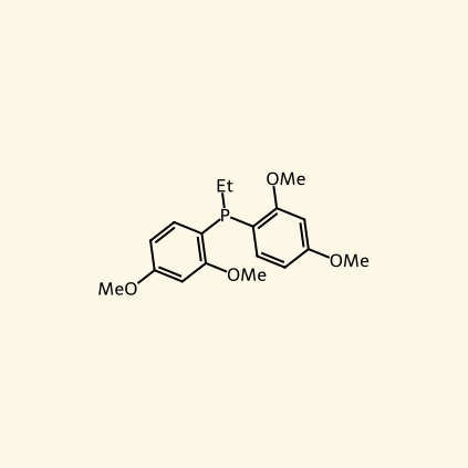 CCP(c1ccc(OC)cc1OC)c1ccc(OC)cc1OC